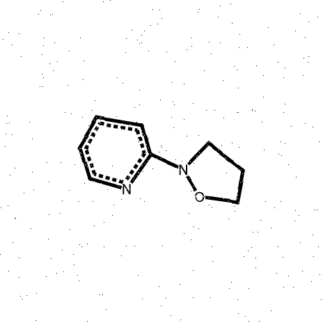 c1ccc(N2CCCO2)nc1